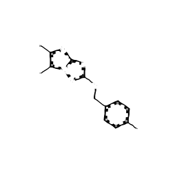 Fc1ccc(CNc2nn3c(I)c(Cl)nc3s2)cc1